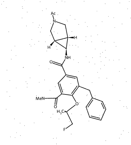 CNC(=O)c1cc(C(=O)N[C@H]2[C@@H]3CN(C(C)=O)C[C@@H]32)cc(Cc2ccccc2)c1O[C@H](C)CF